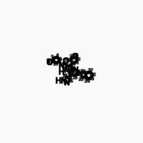 COc1cccc(NC(=O)c2nn3c(-c4cn[nH]c4)cc(N4Cc5ccccc5C4)nc3c2C2CCOCC2)c1